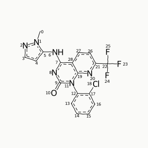 Cn1nccc1Nc1nc(=O)n(-c2ccccc2Cl)c2nc(C(F)(F)F)ccc12